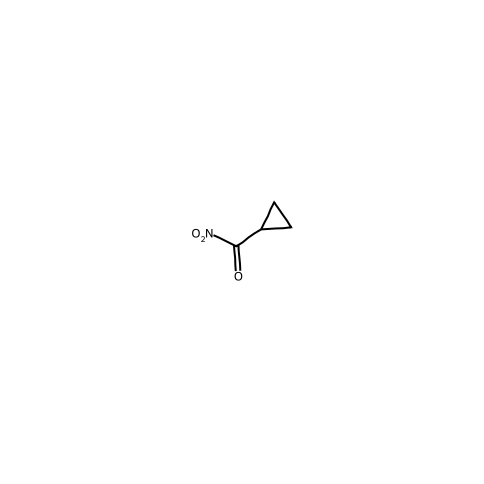 O=C(C1CC1)[N+](=O)[O-]